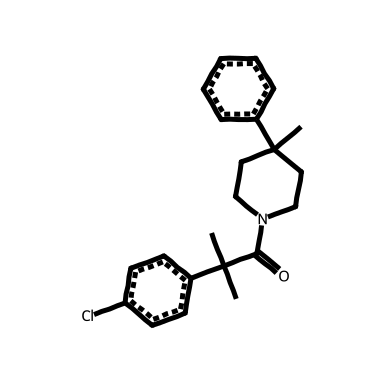 CC1(c2ccccc2)CCN(C(=O)C(C)(C)c2ccc(Cl)cc2)CC1